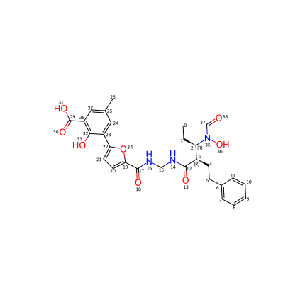 CC[C@H]([C@@H](CCc1ccccc1)C(=O)NCNC(=O)c1ccc(-c2cc(C)cc(C(=O)O)c2O)o1)N(O)C=O